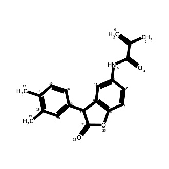 C=C(C)C(=O)Nc1ccc2c(c1)C(c1ccc(C)c(C)c1)C(=O)O2